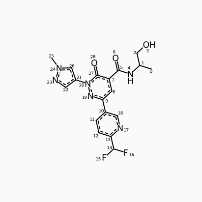 CC(CO)NC(=O)c1cc(-c2ccc(C(F)F)nc2)nn(-c2cnn(C)c2)c1=O